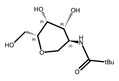 CC(C)(C)C(=O)N[C@H]1CO[C@H](CO)[C@H](O)[C@@H]1O